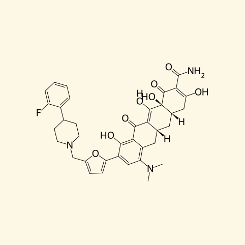 CN(C)c1cc(-c2ccc(CN3CCC(c4ccccc4F)CC3)o2)c(O)c2c1C[C@H]1C[C@H]3CC(O)=C(C(N)=O)C(=O)[C@@]3(O)C(O)=C1C2=O